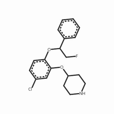 FCC(Oc1ccc(Cl)cc1OC1CCNCC1)c1ccccc1